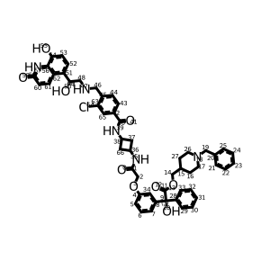 O=C(COc1cccc([C@](O)(C(=O)OCC2CCN(Cc3ccccc3)CC2)c2ccccc2)c1)NC1CC(NC(=O)c2ccc(CNC[C@H](O)c3ccc(O)c4[nH]c(=O)ccc34)c(Cl)c2)C1